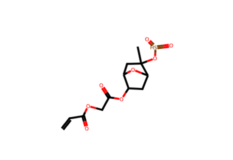 C=CC(=O)OCC(=O)OC1CC2OC1CC2(C)O[SH](=O)=O